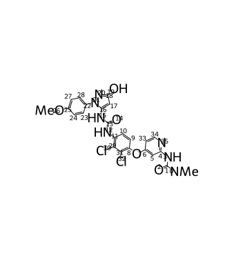 CNC(=O)Nc1cc(Oc2ccc(NC(=O)Nc3cc(O)nn3-c3ccc(OC)cc3)c(Cl)c2Cl)ccn1